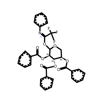 O=C(O[C@H]1[C@H](OC(=O)c2ccccc2)COC(O/C(=N/c2ccccc2)C(F)(F)F)[C@@H]1OC(=O)c1ccccc1)c1ccccc1